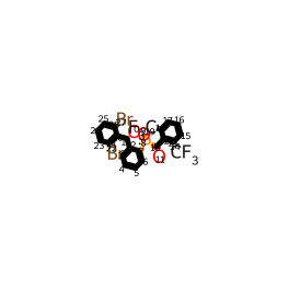 O=C(c1ccccc1[P](=O)C(=O)c1c(C(F)(F)F)cccc1C(F)(F)F)c1c(Br)cccc1Br